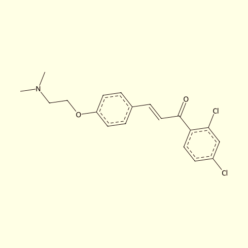 CN(C)CCOc1ccc(/C=C/C(=O)c2ccc(Cl)cc2Cl)cc1